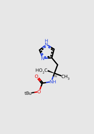 CC(C)(C)OC(=O)N[C@@](C)(Cc1c[nH]cn1)C(=O)O